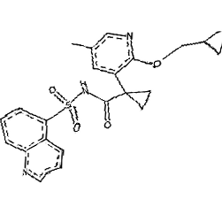 Cc1cnc(OCC2CC2)c(C2(C(=O)NS(=O)(=O)c3cccc4ncccc34)CC2)c1